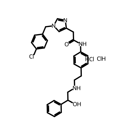 Cl.Cl.O=C(Cc1cn(Cc2ccc(Cl)cc2)cn1)Nc1ccc(CCNCC(O)c2ccccc2)cc1